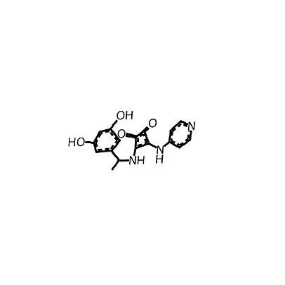 CC(Nc1c(Nc2ccncc2)c(=O)c1=O)c1cc(O)cc(O)c1